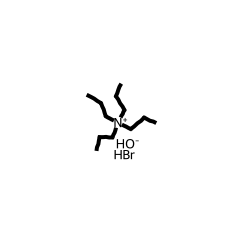 Br.CCC[N+](CCC)(CCC)CCC.[OH-]